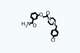 NC(=O)c1cccc(OCC(=O)N2CCN(Cc3ccc(Cl)cc3)CC2)c1